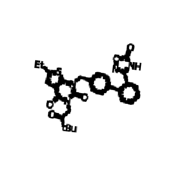 CCc1cc2c(=O)n(CC(=O)C(C)(C)C)c(=O)n(Cc3ccc(-c4ccccc4-c4noc(=O)[nH]4)cc3)c2s1